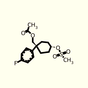 CC(=O)OC[C@]1(c2ccc(F)cc2)CC[C@@H](OS(C)(=O)=O)CC1